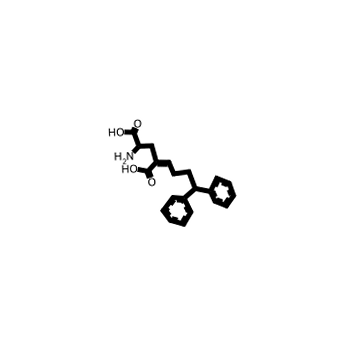 NC(CC(=CCCC(c1ccccc1)c1ccccc1)C(=O)O)C(=O)O